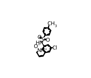 Cc1ccc(S(=O)(=O)Nc2cc(Cl)cc3c2[NH+]([O-])CC=C3)cc1